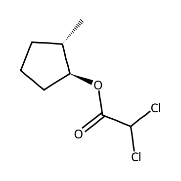 C[C@H]1CCC[C@@H]1OC(=O)C(Cl)Cl